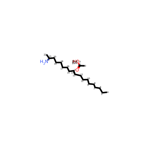 CC(=O)O.CCCCCCCCCCCCCCCCCC(C)N.[Pd]